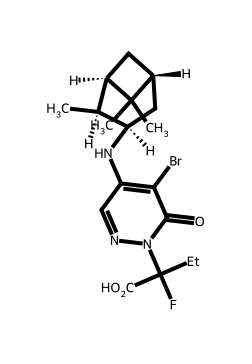 CCC(F)(C(=O)O)n1ncc(N[C@@H]2C[C@H]3C[C@H]([C@@H]2C)C3(C)C)c(Br)c1=O